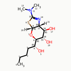 CCCC[C@@H](O)[C@H]1O[C@@H]2SC(N(C)C)=N[C@@H]2[C@@H](O)[C@@H]1O